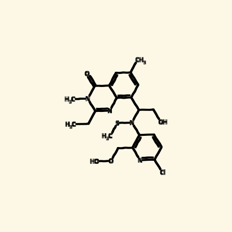 CCc1nc2c(C(CO)N(SC)c3ccc(Cl)nc3COO)cc(C)cc2c(=O)n1C